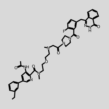 CCc1cccc(-c2cnc(C(=O)N(C)CCOCCN(C)CC(=O)N3CCN(C(=O)c4cc(Cc5n[nH]c(=O)c6ccccc56)ccc4F)CC3)c(NC(C)=O)c2)c1